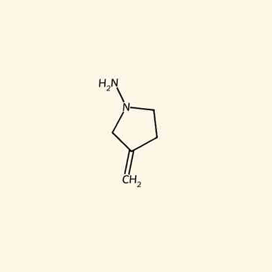 C=C1CCN(N)C1